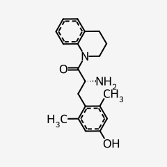 Cc1cc(O)cc(C)c1C[C@@H](N)C(=O)N1CCCc2ccccc21